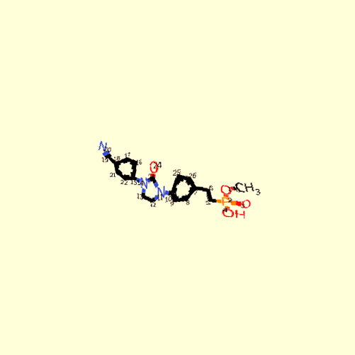 COP(=O)(O)CCc1ccc(N2CCN(c3ccc(C#N)cc3)C2=O)cc1